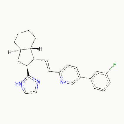 Fc1cccc(-c2ccc(C=C[C@H]3[C@H]4CCCC[C@@H]4C[C@@H]3c3ncc[nH]3)nc2)c1